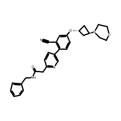 N#Cc1cc(O[C@H]2C[C@H](N3CCOCC3)C2)ccc1-c1ccc(CC(=O)NCc2ccccc2)nc1